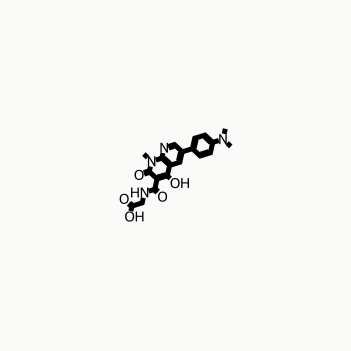 CN(C)c1ccc(-c2cnc3c(c2)c(O)c(C(=O)NCC(=O)O)c(=O)n3C)cc1